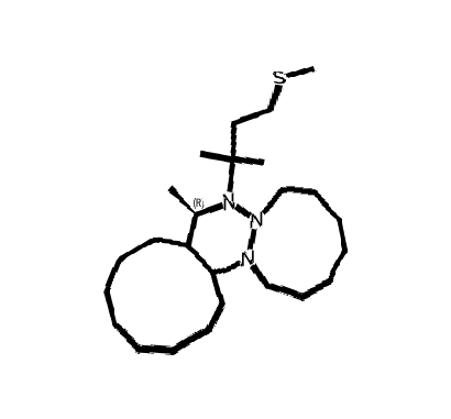 CSCCC(C)(C)N1[C@H](C)C2CCCCCCCCC2N2CCCCCCCN21